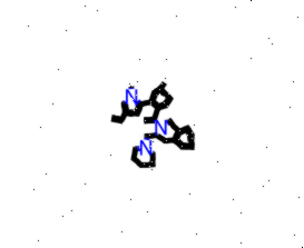 C=Cc1cc(-c2cc(C)ccc2C(=C)N2Cc3ccccc3CC2CN2CCCCC2)n(C)c1